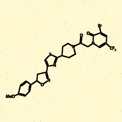 COc1ccc(C2CC(c3csc(C4CCN(C(=O)Cn5cc(C(F)(F)F)cc(Br)c5=O)CC4)n3)=NO2)cc1